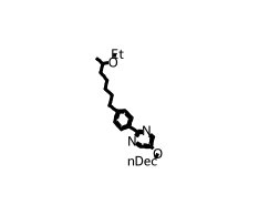 CCCCCCCCCCOc1cnc(-c2ccc(CCCCCC(C)OCC)cc2)nc1